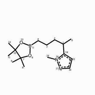 CC(CCCB1OC(C)(C)C(C)(C)O1)c1ccnn1C